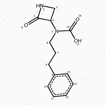 O=C1NCC1N(CCCc1ccccc1)C(=O)O